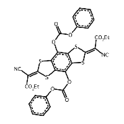 [C-]#[N+]C(C(=O)OCC)=C1Sc2c(OC(=O)Oc3ccccc3)c3c(c(OC(=O)Oc4ccccc4)c2S1)SC(=C(C#N)C(=O)OCC)S3